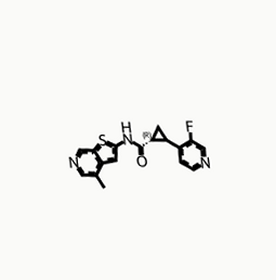 Cc1cncc2sc(NC(=O)[C@@H]3CC3c3ccncc3F)cc12